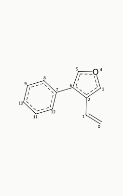 C=Cc1cocc1-c1ccccc1